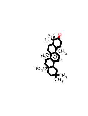 CC1(C)CCC2(C(=O)O)CC[C@]3(C)C(=CCC4[C@@]5(C)CCC(=O)C(C)(C)C5CC[C@]43C)C2C1